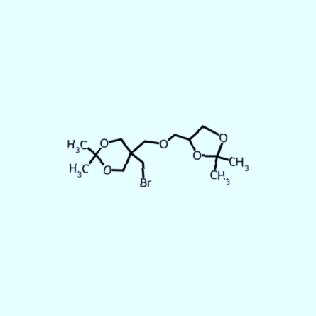 CC1(C)OCC(CBr)(COCC2COC(C)(C)O2)CO1